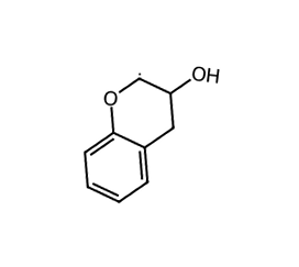 OC1[CH]Oc2ccccc2C1